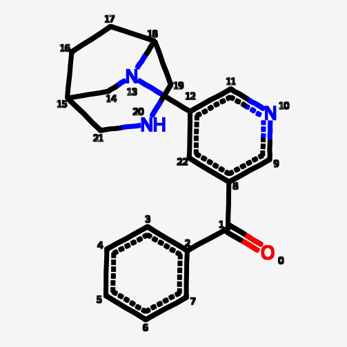 O=C(c1ccccc1)c1cncc(N2CC3CCC2CNC3)c1